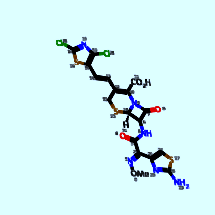 CO/N=C(/C(=O)NC1C(=O)N2C(C(=O)O)=C(/C=C/c3sc(Cl)nc3Cl)CS[C@H]12)c1csc(N)n1